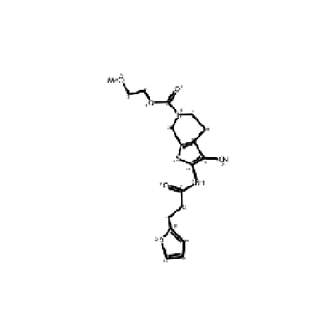 COCCOC(=O)N1CCc2c(sc(NC(=O)CCc3ccco3)c2C#N)C1